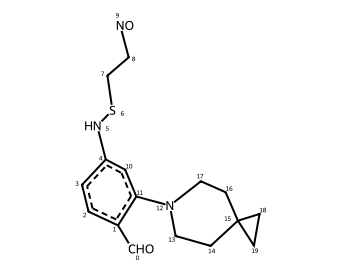 O=Cc1ccc(NSCCN=O)cc1N1CCC2(CC1)CC2